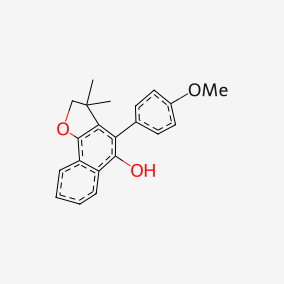 COc1ccc(-c2c3c(c4ccccc4c2O)OCC3(C)C)cc1